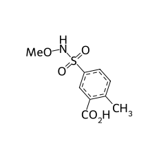 CONS(=O)(=O)c1ccc(C)c(C(=O)O)c1